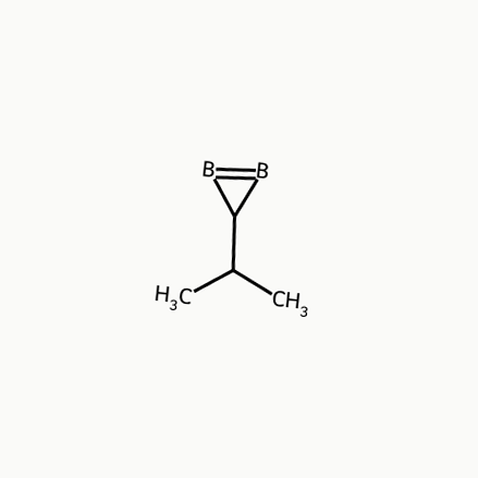 CC(C)C1B=B1